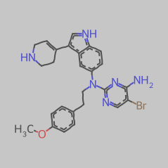 COc1ccc(CCN(c2ccc3[nH]cc(C4=CCNCC4)c3c2)c2ncc(Br)c(N)n2)cc1